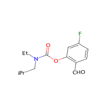 CCN(CC(C)C)C(=O)Oc1cc(F)ccc1C=O